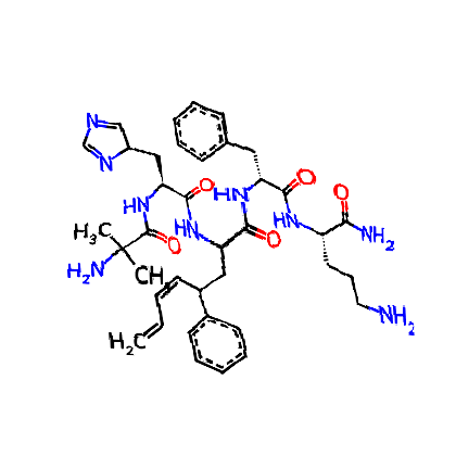 C=C/C=C\C(CC(NC(=O)[C@H](CC1C=NC=N1)NC(=O)C(C)(C)N)C(=O)N[C@H](Cc1ccccc1)C(=O)N[C@@H](CCCN)C(N)=O)c1ccccc1